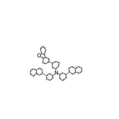 c1cc(-c2ccc3ccccc3c2)cc(N(c2cccc(-c3ccc4ccccc4c3)c2)c2cccc(-c3ccc4oc5ccccc5c4c3)c2)c1